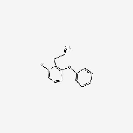 C=CCc1c(Oc2ccccc2)ccc[n+]1[O-]